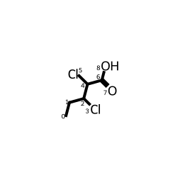 CCC(Cl)C(Cl)C(=O)O